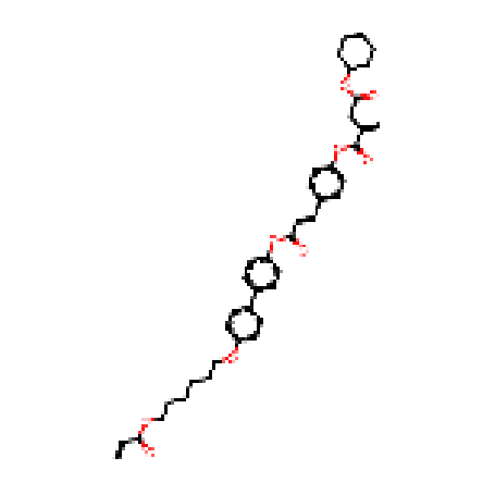 C=CC(=O)OCCCCCCOc1ccc(-c2ccc(OC(=O)/C=C/c3ccc(OC(=O)C(=C)CC(=O)OC4CCCCC4)cc3)cc2)cc1